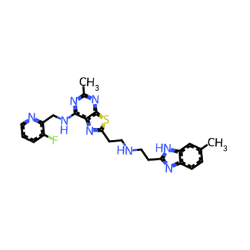 Cc1ccc2nc(CCNCCc3nc4c(NCc5ncccc5F)nc(C)nc4s3)[nH]c2c1